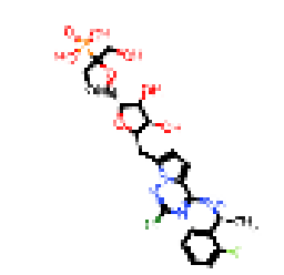 COCC(CO)(OC[C@H]1O[C@H](Cc2ccc3c(N[C@@H](C)c4ccccc4F)nc(Cl)nn23)[C@H](O)[C@@H]1O)P(=O)(O)O